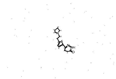 O=C1CCC(c2ccc(CCN3CCCC3)s2)=NN1